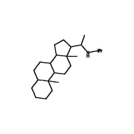 CC(C)NC(C)C1CCC2C3CCC4CCCCC4(C)C3CCC12C